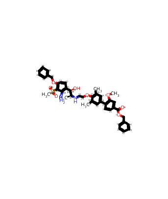 COc1cc(C(=O)OCc2ccccc2)ccc1-c1cc(C)c(OCCN[C@@H](C)[C@H](O)c2ccc(OCc3ccccc3)c(S(C)(=O)=O)c2N)c(C)c1